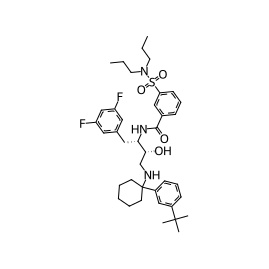 CCCN(CCC)S(=O)(=O)c1cccc(C(=O)N[C@@H](Cc2cc(F)cc(F)c2)[C@H](O)CNC2(c3cccc(C(C)(C)C)c3)CCCCC2)c1